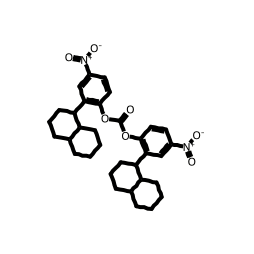 O=C(Oc1ccc([N+](=O)[O-])cc1C1CCCC2CCCCC21)Oc1ccc([N+](=O)[O-])cc1C1CCCC2CCCCC21